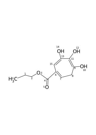 CCCOC(=O)C1=CCC(O)=C(O)C(O)=C1